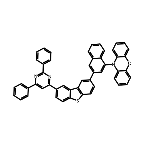 c1ccc(-c2cc(-c3ccc4sc5ccc(-c6cc(N7c8ccccc8Oc8ccccc87)c7ccccc7c6)cc5c4c3)nc(-c3ccccc3)n2)cc1